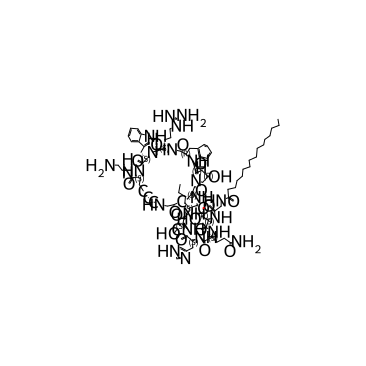 CCCCCCCCCCCCCCCC(=O)NCC(=O)N[C@H](C(=O)N[C@@H](CCC(N)=O)C(=O)N[C@@H](Cc1c[nH]cn1)C(=O)N[C@@H](CO)C(=O)N[C@@H](CCCC)C(=O)N[C@H]1CCC(=O)CNCCCC[C@@H](C(=O)NCCN)NC(=O)[C@H](Cc2c[nH]c3ccccc23)NC(=O)[C@H](CCCNC(=N)N)NC(=O)[C@@H](Cc2ccccc2)NC(=O)[C@@H]2C[C@@H](O)CN2C1=O)[C@@H](C)O